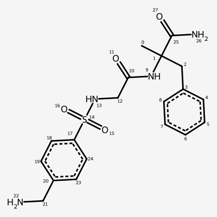 CC(Cc1ccccc1)(NC(=O)CNS(=O)(=O)c1ccc(CN)cc1)C(N)=O